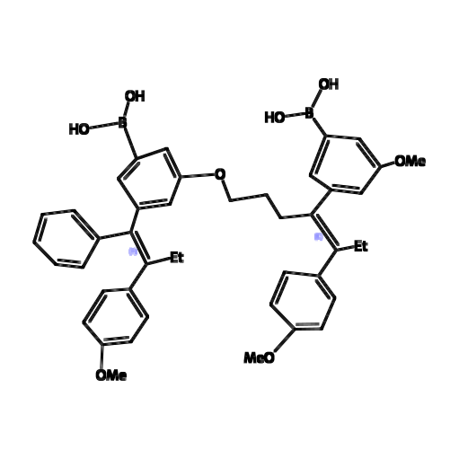 CC/C(=C(/CCCOc1cc(B(O)O)cc(/C(=C(\CC)c2ccc(OC)cc2)c2ccccc2)c1)c1cc(OC)cc(B(O)O)c1)c1ccc(OC)cc1